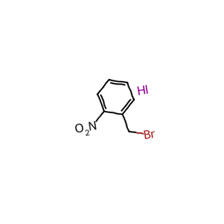 I.O=[N+]([O-])c1ccccc1CBr